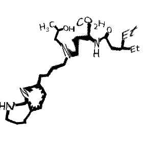 CCC(CC)CC(=O)NC(CCN(CCCCc1ccc2c(n1)NCCC2)CC(C)O)C(=O)O